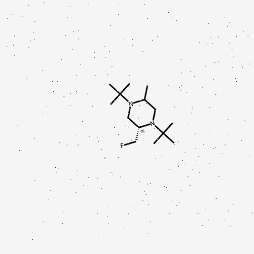 CC1CN(C(C)(C)C)[C@H](CF)CN1C(C)(C)C